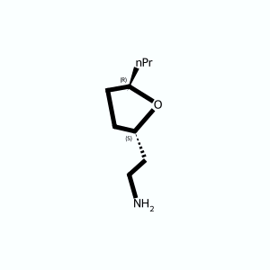 CCC[C@@H]1CC[C@@H](CCN)O1